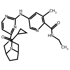 CCNC(=O)c1ncc(Nc2nccc(N3CC4CCC(C3)N4C(=O)C3CC3)n2)cc1C